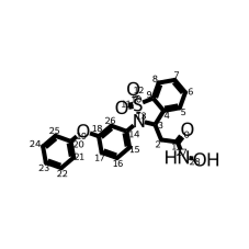 O=C(CC1c2ccccc2S(=O)(=O)N1c1cccc(Oc2ccccc2)c1)NO